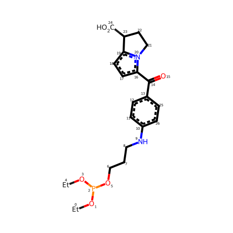 CCOP(OCC)OCCCNc1ccc(C(=O)c2ccc3n2CCC3C(=O)O)cc1